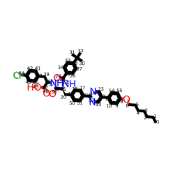 CCCCCCCOc1ccc(-c2cnc(-c3ccc(C[C@H](NC(=O)c4ccc(C(C)(C)C)cc4)C(=O)NC(Cc4ccc(Cl)cc4)C(=O)O)cc3)nc2)cc1